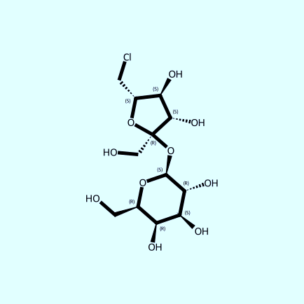 OC[C@H]1O[C@@H](O[C@@]2(CO)O[C@H](CCl)[C@@H](O)[C@@H]2O)[C@H](O)[C@@H](O)[C@H]1O